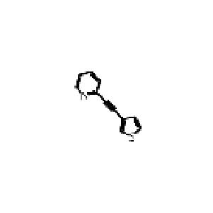 C(#Cc1ccc[c]n1)c1ccsc1